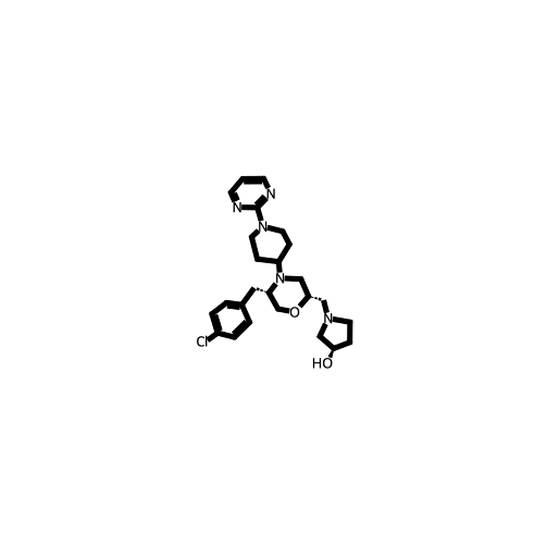 O[C@@H]1CCN(C[C@H]2CN(C3CCN(c4ncccn4)CC3)[C@@H](Cc3ccc(Cl)cc3)CO2)C1